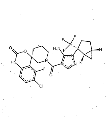 Nc1c(C(=O)N2CCC[C@@]3(C2)OC(=O)Nc2ccc(Cl)c(F)c23)cnn1[C@@]1(C(F)(F)F)CC[C@@H]2C[C@@H]21